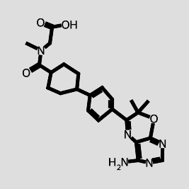 CN(CC(=O)O)C(=O)C1CCC(c2ccc(C3=Nc4c(N)ncnc4OC3(C)C)cc2)CC1